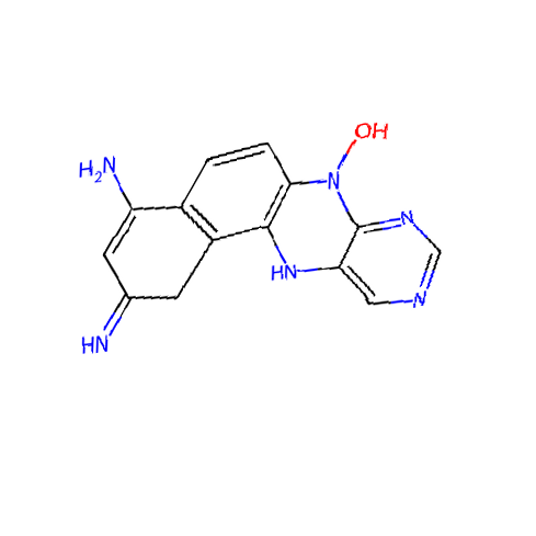 N=C1C=C(N)c2ccc3c(c2C1)Nc1cncnc1N3O